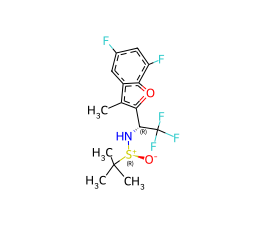 Cc1c([C@@H](N[S@@+]([O-])C(C)(C)C)C(F)(F)F)oc2c(F)cc(F)cc12